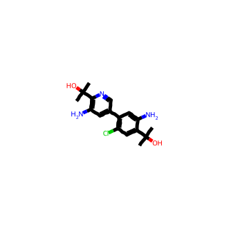 CC(C)(O)c1cc(Cl)c(-c2cnc(C(C)(C)O)c(N)c2)cc1N